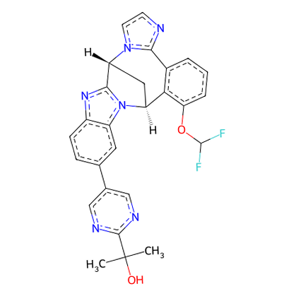 CC(C)(O)c1ncc(-c2ccc3nc4n(c3c2)[C@H]2C[C@H]4n3ccnc3-c3cccc(OC(F)F)c32)cn1